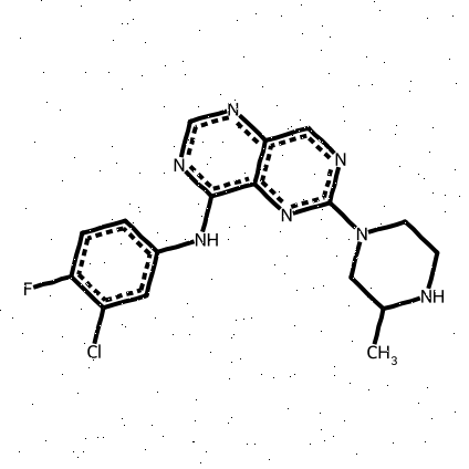 CC1CN(c2ncc3ncnc(Nc4ccc(F)c(Cl)c4)c3n2)CCN1